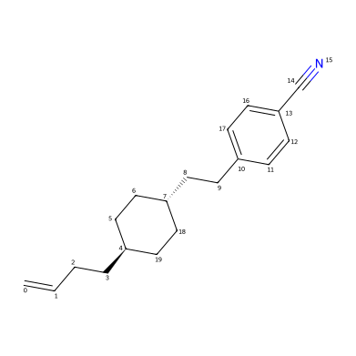 C=CCC[C@H]1CC[C@H](CCc2ccc(C#N)cc2)CC1